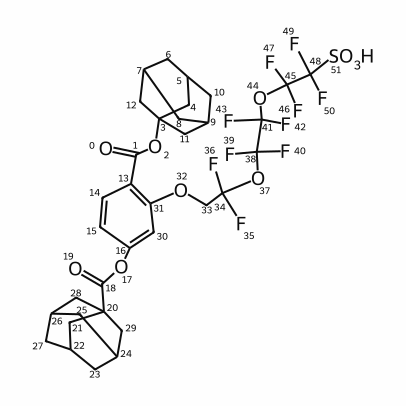 O=C(OC12CC3CC(CC(C3)C1)C2)c1ccc(OC(=O)C23CC4CC(CC(C4)C2)C3)cc1OCC(F)(F)OC(F)(F)C(F)(F)OC(F)(F)C(F)(F)S(=O)(=O)O